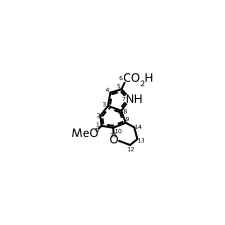 COc1cc2cc(C(=O)O)[nH]c2c2c1OCCC2